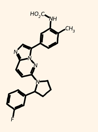 Cc1ccc(-c2cnc3ccc(N4CCCC4c4cccc(F)c4)nn23)cc1NC(=O)O